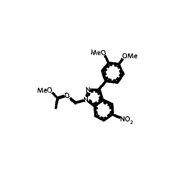 COc1ccc(-c2nn(COC(C)OC)c3ccc([N+](=O)[O-])cc23)cc1OC